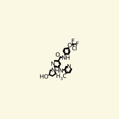 Cc1ccncc1Nc1cc(C(=O)Nc2ccc(OC(F)(F)Cl)cc2)cnc1N1CC[C@@H](O)C1